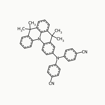 CC1(C)c2ccccc2N2c3ccc(N(c4ccc(C#N)cc4)c4ccc(C#N)cc4)cc3C(C)(C)c3cccc1c32